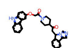 O=C(CC1c2ccccc2-c2cncn21)C1CCN(C(=O)COc2ccc3[nH]c4ccccc4c3c2)CC1